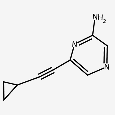 Nc1cncc(C#CC2CC2)n1